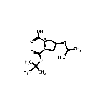 CC(C)OC1C[C@H](C(=O)O)N(C(=O)OC(C)(C)C)C1